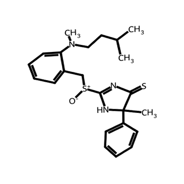 CC(C)CCN(C)c1ccccc1C[S+]([O-])C1=NC(=S)C(C)(c2ccccc2)N1